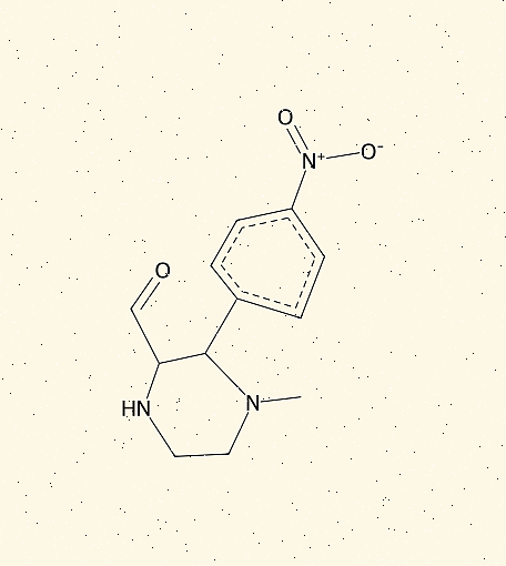 CN1CCNC(C=O)C1c1ccc([N+](=O)[O-])cc1